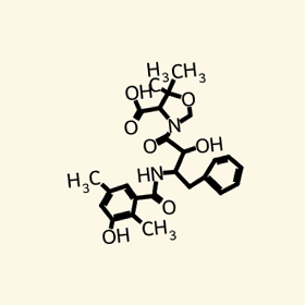 Cc1cc(O)c(C)c(C(=O)NC(Cc2ccccc2)C(O)C(=O)N2COC(C)(C)C2C(=O)O)c1